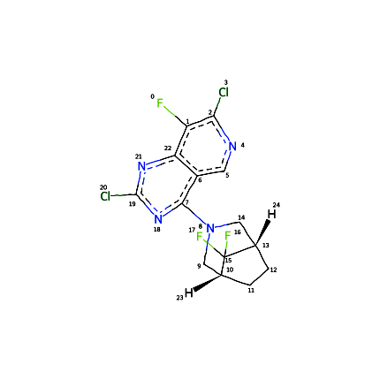 Fc1c(Cl)ncc2c(N3C[C@H]4CC[C@@H](C3)C4(F)F)nc(Cl)nc12